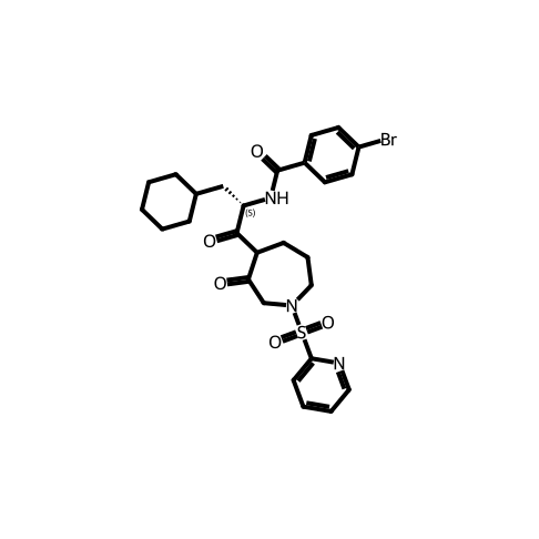 O=C(N[C@@H](CC1CCCCC1)C(=O)C1CCCN(S(=O)(=O)c2ccccn2)CC1=O)c1ccc(Br)cc1